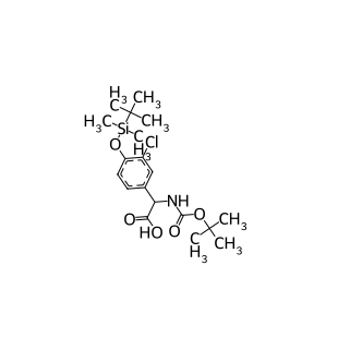 CC(C)(C)OC(=O)NC(C(=O)O)c1ccc(O[Si](C)(C)C(C)(C)C)c(Cl)c1